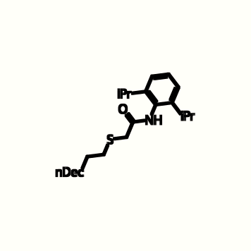 CCCCCCCCCCCCSCC(=O)Nc1c(C(C)C)cccc1C(C)C